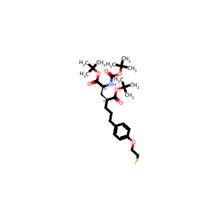 CC(C)(C)OC(=O)N[C@@H](C[C@H](CCCc1ccc(OCCF)cc1)C(=O)OC(C)(C)C)C(=O)OC(C)(C)C